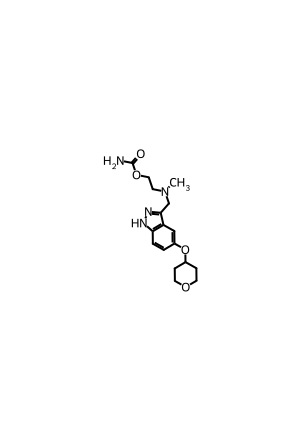 CN(CCOC(N)=O)Cc1n[nH]c2ccc(OC3CCOCC3)cc12